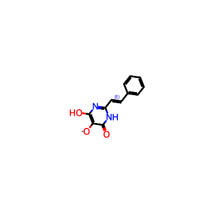 [O]c1c(O)nc(/C=C/c2ccccc2)[nH]c1=O